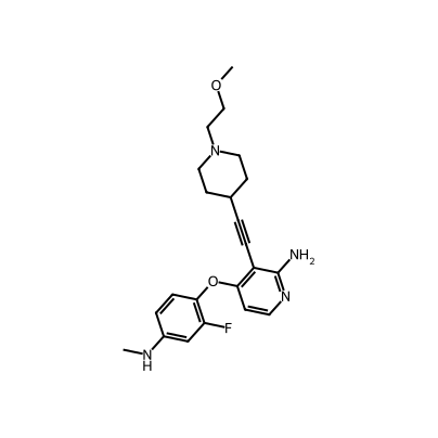 CNc1ccc(Oc2ccnc(N)c2C#CC2CCN(CCOC)CC2)c(F)c1